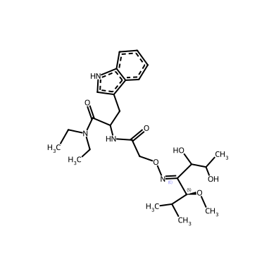 CCN(CC)C(=O)C(Cc1c[nH]c2ccccc12)NC(=O)CO/N=C(\C(O)C(C)O)[C@@H](OC)C(C)C